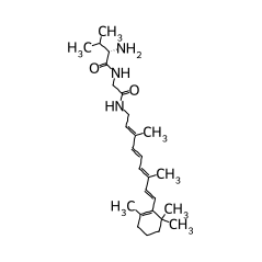 CC1=C(/C=C/C(C)=C/C=C/C(C)=C/CNC(=O)CNC(=O)[C@@H](N)C(C)C)C(C)(C)CCC1